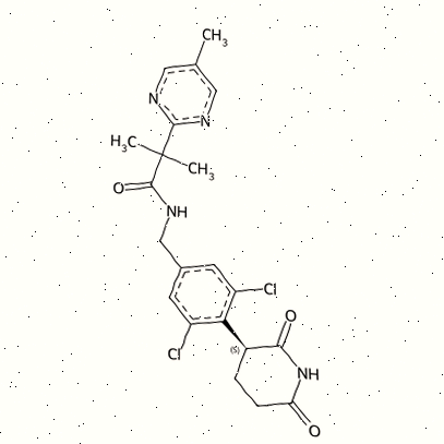 Cc1cnc(C(C)(C)C(=O)NCc2cc(Cl)c([C@@H]3CCC(=O)NC3=O)c(Cl)c2)nc1